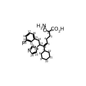 NOC(CCC=C(C1CCCCC1)C(Cc1cccc(F)c1)n1ccnc1)C(=O)O